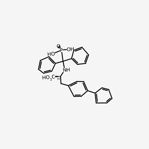 O=C(O)[C@H](Cc1ccc(-c2ccccc2)cc1)NC(c1ccccc1)(c1ccccc1)P(=O)(O)O